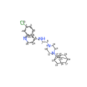 Clc1ccc2c(NCCN3CCN(C4C5CC6CC(C5)CC4C6)CC3)ccnc2c1